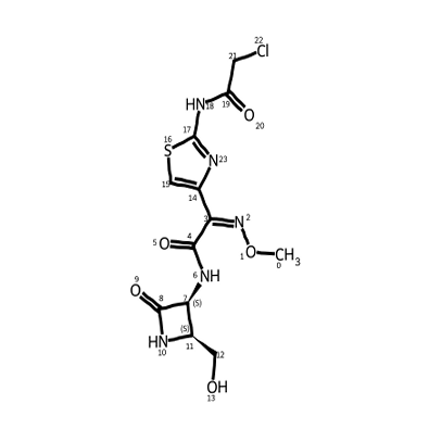 CON=C(C(=O)N[C@@H]1C(=O)N[C@@H]1CO)c1csc(NC(=O)CCl)n1